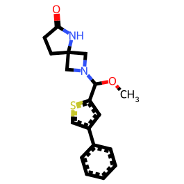 COC(c1cc(-c2ccccc2)cs1)N1CC2(CCC(=O)N2)C1